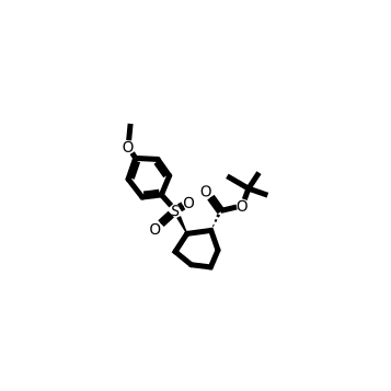 COc1ccc(S(=O)(=O)[C@@H]2CCCC[C@H]2C(=O)OC(C)(C)C)cc1